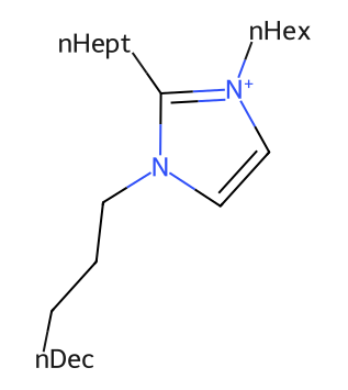 CCCCCCCCCCCCCn1cc[n+](CCCCCC)c1CCCCCCC